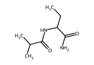 CCC(NC(=O)C(C)C)C(N)=O